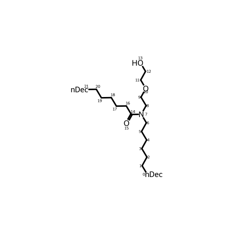 CCCCCCCCCCCCCCCCN(CCOCCO)C(=O)CCCCCCCCCCCCCCC